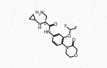 NC[C@H](NC1CC1)C(=O)Nc1ccc(N2CCOCC2=O)c(OC(F)F)c1